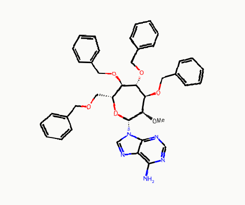 CO[C@@H]1[C@H](OCc2ccccc2)[C@@H](OCc2ccccc2)[C@H](OCc2ccccc2)[C@@H](COCc2ccccc2)O[C@H]1n1cnc2c(N)ncnc21